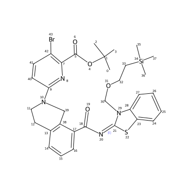 CC(C)(C)OC(=O)c1nc(N2CCc3cccc(C(=O)/N=c4/sc5ccccc5n4COCC[Si](C)(C)C)c3C2)ccc1Br